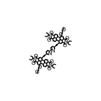 CCC(CC)N1C(=O)c2ccc3c4c(C#Cc5ccc(-c6ccc(C#Cc7cc8c9c(cc(OCCOC)c%10c%11ccc%12c%13c(ccc(c7c9%10)c%13%11)C(=O)N(C(CC)CC)C%12=O)C(=O)N(C(CC)CC)C8=O)cn6)nc5)cc5c6c(cc(OCCOC)c(c7ccc(c2c37)C1=O)c64)C(=O)N(C(CC)CC)C5=O